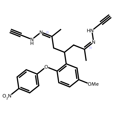 C#CN/N=C(/C)CC(C/C(C)=N\NC#C)c1cc(OC)ccc1Oc1ccc([N+](=O)[O-])cc1